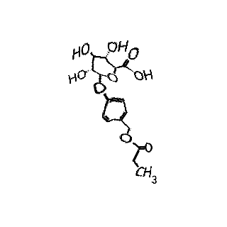 CCC(=O)OCc1ccc(OC2O[C@H](C(=O)O)[C@@H](O)[C@H](O)[C@H]2O)cc1